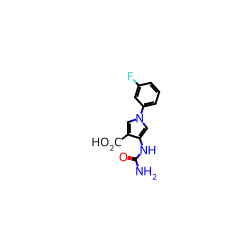 NC(=O)Nc1cn(-c2cccc(F)c2)cc1C(=O)O